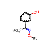 CCON=C(C(=O)O)c1cccc(O)c1